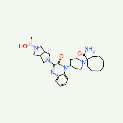 CB(O)N1CC2CN(c3nc4ccccc4n(C4CCN(C5(C(N)=O)CCCCCCC5)CC4)c3=O)CC2C1